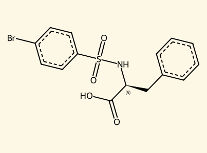 O=C(O)[C@H](Cc1ccccc1)NS(=O)(=O)c1ccc(Br)cc1